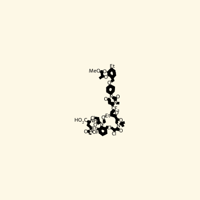 CC1(C)OC(c2ccco2)CN1C(=O)C(Cl)Cl.CCOCN(C(=O)CCl)c1c(C)cccc1CC.CCc1ccc(COc2ccc(-n3c(=O)cc(C(F)(F)F)n(C)c3=O)cc2)c(OC(C)C(=O)OC)c1.CP(=O)(O)CCC(N)C(=O)O